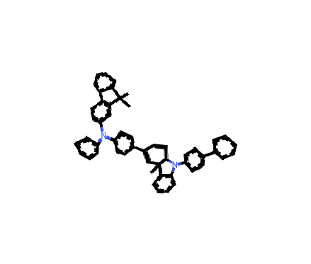 CC1(C)c2ccccc2-c2ccc(N(c3ccccc3)c3ccc(C4=CC5(C)c6ccccc6N(c6ccc(-c7ccccc7)cc6)C5C=C4)cc3)cc21